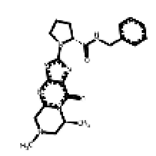 C[C@H]1CN(C)Cc2nc3sc(N4CCC[C@@H]4C(=O)NCc4ccccc4)nc3c(=O)n21